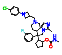 CNC(=O)OC1CCCC1C(Cn1ccnc1C)(c1cccc(F)c1)C1CCN(CC2CN(c3ccc(Cl)cc3)C2)CC1